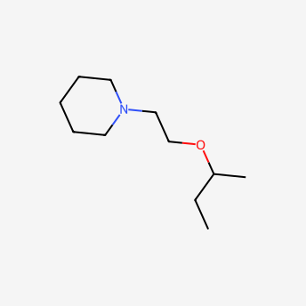 CCC(C)OCCN1CCCCC1